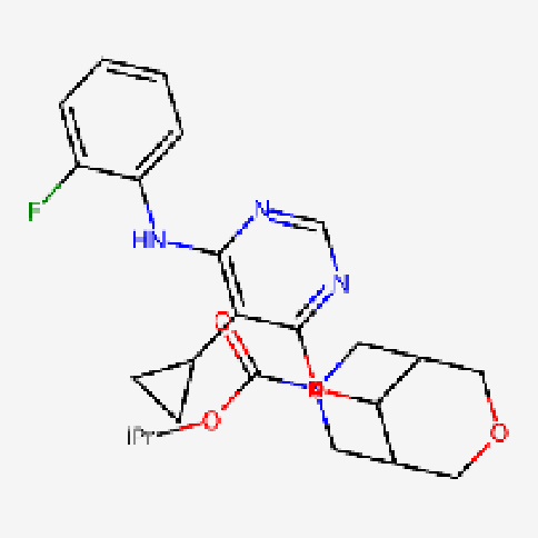 CC(C)OC(=O)N1CC2COCC(C1)C2Oc1ncnc(Nc2ccccc2F)c1C1CC1